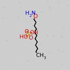 CCCCCCCCCCCCON.O=S(=O)(O)O